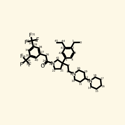 CCc1ccc(C2(CCN3CCC(N4CCCCC4)CC3)CCN(C(=O)Cc3cc(C(F)(F)F)cc(C(F)(F)F)c3)C2)cc1CC